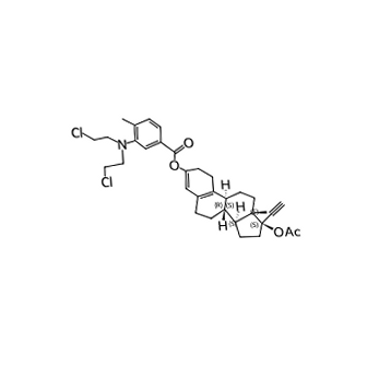 C#C[C@]1(OC(C)=O)CC[C@H]2[C@@H]3CCC4=C(CCC(OC(=O)c5ccc(C)c(N(CCCl)CCCl)c5)=C4)[C@H]3CC[C@@]21C